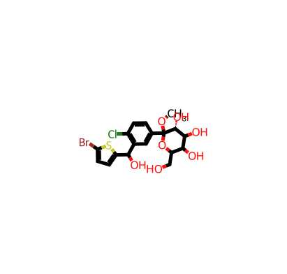 COC1(c2ccc(Cl)c(C(O)c3ccc(Br)s3)c2)OC(CO)C(O)C(O)[C@H]1O